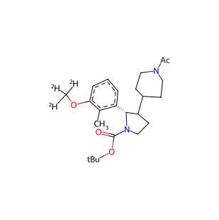 [2H]C([2H])([2H])Oc1cccc([C@@H]2C(C3CCN(C(C)=O)CC3)CCN2C(=O)OC(C)(C)C)c1C